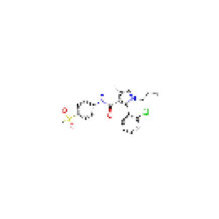 C=CCn1cc(C)c(C(=O)Nc2ccc(S(C)(=O)=O)cc2)c1-c1ccccc1Cl